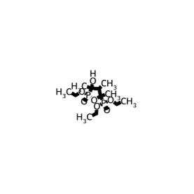 CCOP1(=O)OC(C)(P(=O)(OCC)OCC)C(C)C1(C)O